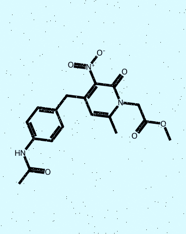 COC(=O)Cn1c(C)cc(Cc2ccc(NC(C)=O)cc2)c([N+](=O)[O-])c1=O